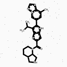 Cc1cc(-c2[nH]c3cc(C(=O)N4CCCC5CNCC54)sc3c2C(C)C)cn2ncnc12